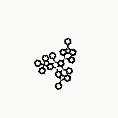 c1ccc(N2c3cc(N(c4ccccc4)c4cccc5c4c4ccccc4n5-c4ccccc4)cc4c3B(c3ccc5c(c32)-c2ccccc2C5(c2ccccc2)c2ccccc2)c2ccc3c(c2N4c2ccccc2)c2ccccc2n3-c2ccccc2)cc1